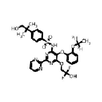 [2H]C([2H])(C)Oc1ccccc1Oc1c(NS(=O)(=O)c2ccc(C(C)(C)CO)cc2)nc(-c2ncccn2)nc1OCC(O)(F)F